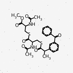 COC(=O)C(CSC(=O)C(CSC(=O)C(C)c1cccc(C(=O)c2ccccc2)c1)NC(C)=O)NC(C)=O